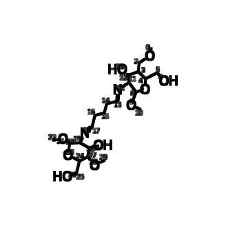 COCC1C(CO)OC(OC)C(/N=C/CCC/C=N/C2C(OC)OC(CO)C(OC)C2O)C1O